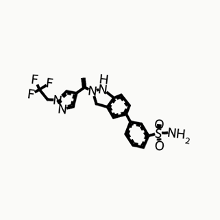 C=C(c1cnn(CC(F)(F)F)c1)N1Cc2cc(-c3cccc(S(N)(=O)=O)c3)ccc2N1